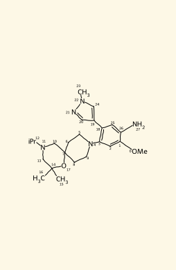 COc1cc(N2CCC3(CC2)CN(C(C)C)CC(C)(C)O3)c(-c2cnn(C)c2)cc1N